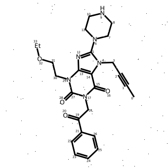 CC#CCn1c(N2CCNCC2)nc2c1c(=O)n(CC(=O)c1ccccc1)c(=O)n2CCOCC